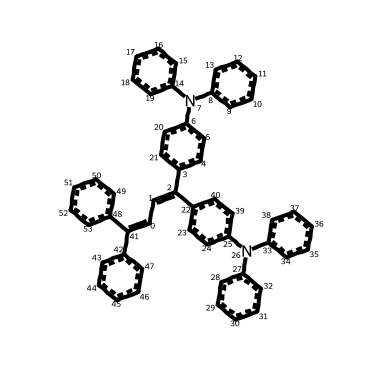 C(C=C(c1ccc(N(c2ccccc2)c2ccccc2)cc1)c1ccc(N(c2ccccc2)c2ccccc2)cc1)=C(c1ccccc1)c1ccccc1